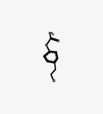 CC(=O)Oc1ccc(CCCl)cc1